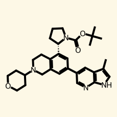 Cc1c[nH]c2ncc(-c3cc4c(c([C@@H]5CCCN5C(=O)OC(C)(C)C)c3)CCN(C3CCOCC3)C4)cc12